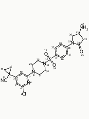 N#CC1(c2cc(Cl)nc(N3CCN(S(=O)(=O)c4ccc(N5CC(N)CC5=O)cc4)CC3)c2)CC1